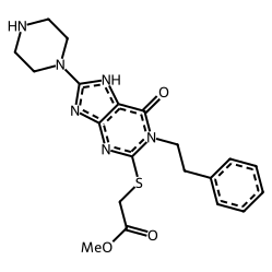 COC(=O)CSc1nc2nc(N3CCNCC3)[nH]c2c(=O)n1CCc1ccccc1